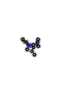 c1ccc(-c2cccc(-c3ccc4c(-n5c6ccccc6c6cc7ccccc7cc65)ccc(-c5nc(-c6ccccc6)nc(-c6ccc7c(c6)sc6ccccc67)n5)c4c3)c2)cc1